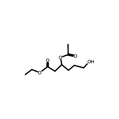 CCOC(=O)CC(CCCO)OC(C)=O